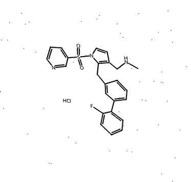 CNCc1ccn(S(=O)(=O)c2cccnc2)c1Cc1cccc(-c2ccccc2F)c1.Cl